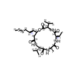 C/C=C1/NC(=O)[C@@H](C)NC(=O)[C@@H](C(C)C)NC(=O)CC(/C=C/CSSC)OC(=O)C(C(C)C)NC1=O